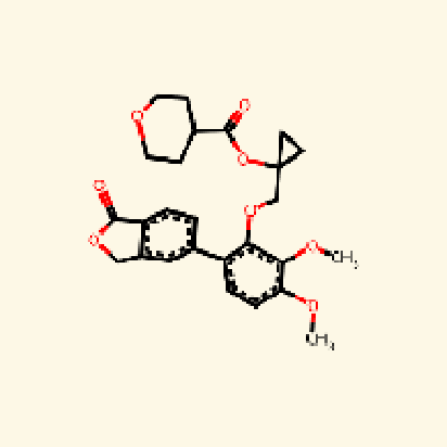 COc1ccc(-c2ccc3c(c2)COC3=O)c(OCC2(OC(=O)C3CCOCC3)CC2)c1OC